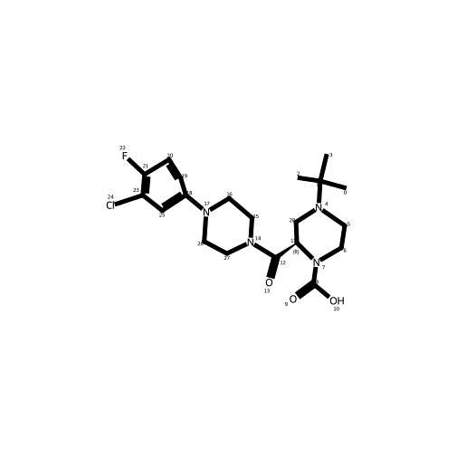 CC(C)(C)N1CCN(C(=O)O)[C@@H](C(=O)N2CCN(c3ccc(F)c(Cl)c3)CC2)C1